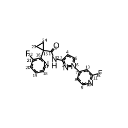 O=C(Nc1ccn(-c2ccnc(F)c2)n1)C1(c2ncccc2F)CC1